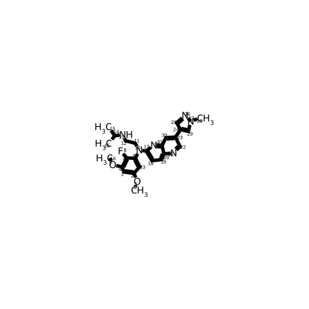 COc1cc(OC)c(F)c(N(CCNC(C)C)c2ccc3ncc(-c4cnn(C)c4)cc3n2)c1